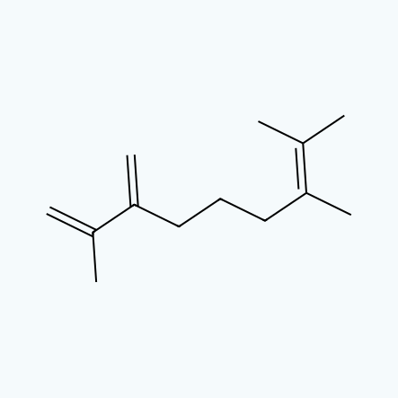 C=C(C)C(=C)CCCC(C)=C(C)C